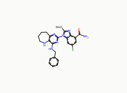 COc1nc2c(C(N)=O)cc(F)cc2n1-c1nc2c(c(NCc3ccccc3)n1)NCCCC2